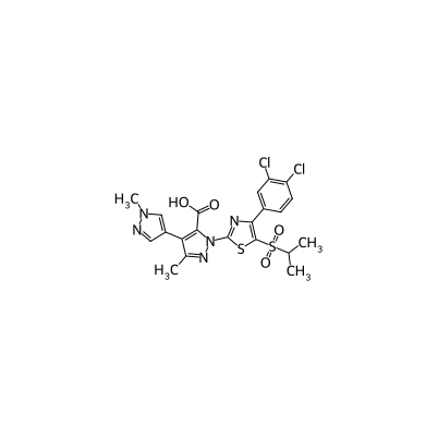 Cc1nn(-c2nc(-c3ccc(Cl)c(Cl)c3)c(S(=O)(=O)C(C)C)s2)c(C(=O)O)c1-c1cnn(C)c1